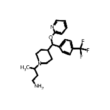 CC(CCN)N1CCC(C(Oc2ccccn2)c2ccc(C(F)(F)F)cc2)CC1